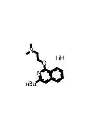 CCCCc1cc2ccccc2c(OCCN(C)C)n1.[LiH]